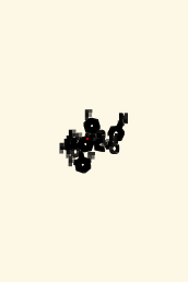 N#CC1CCN(C(=O)N2CC[C@](c3ccc(C(OCc4c(F)cccc4F)(C(F)(F)F)C(F)(F)F)cc3)(S(=O)(=O)c3ccc(F)cc3)C2)CC1